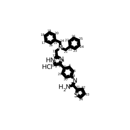 Cl.NC(=Nc1ccc(-c2c[nH]c(CN(Cc3ccccc3)Cc3ccccc3)n2)cc1)c1cccs1